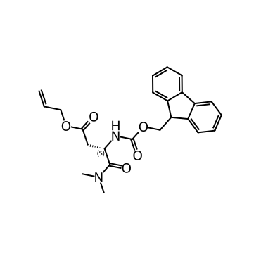 C=CCOC(=O)C[C@H](NC(=O)OCC1c2ccccc2-c2ccccc21)C(=O)N(C)C